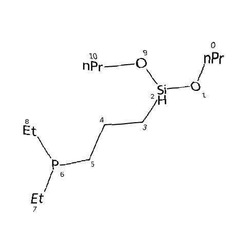 CCCO[SiH](CCCP(CC)CC)OCCC